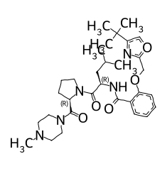 CC(C)C[C@@H](NC(=O)c1ccccc1OCc1nc(C(C)(C)C)co1)C(=O)N1CCC[C@@H]1C(=O)N1CCN(C)CC1